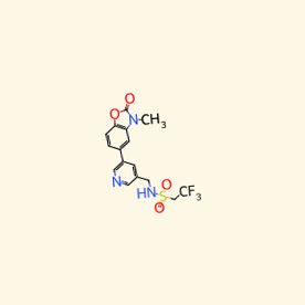 Cn1c(=O)oc2ccc(-c3cncc(CNS(=O)(=O)CC(F)(F)F)c3)cc21